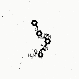 Cn1c(CN2CCC[C@H]2C(N)=O)cnc1-c1ccc2ncnc(Nc3ccc(OCc4ccccc4)cc3)c2c1